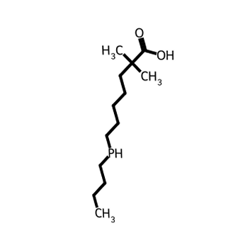 CCCCPCCCCCC(C)(C)C(=O)O